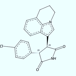 O=C1NC(=O)[C@H](c2cn3c4c(cccc24)CCC3)[C@H]1c1ccc(Cl)cc1